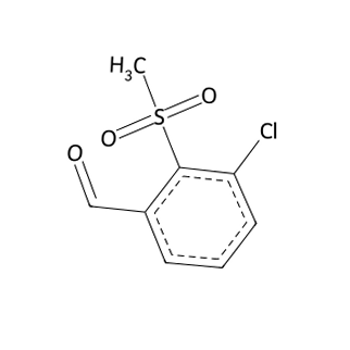 CS(=O)(=O)c1c(Cl)cccc1C=O